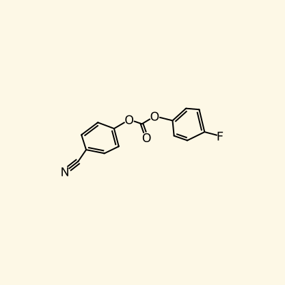 N#Cc1ccc(OC(=O)Oc2ccc(F)cc2)cc1